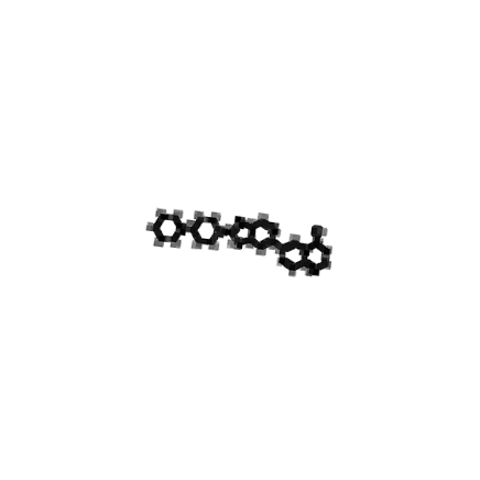 O=c1ccnc2ccc(-c3cc4sc(N5CCC(N6CCCCC6)CC5)nc4cn3)cn12